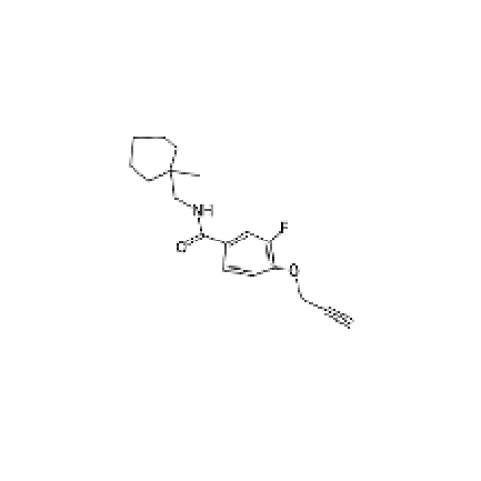 C#CCOc1ccc(C(=O)NCC2(C)CCCCC2)cc1F